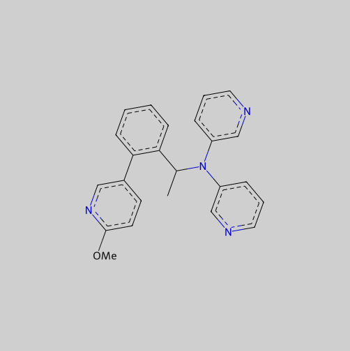 COc1ccc(-c2ccccc2C(C)N(c2cccnc2)c2cccnc2)cn1